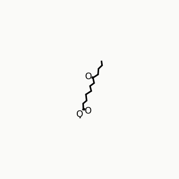 CCCCC(=O)CCCCCCC(=O)OC